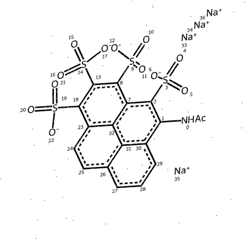 CC(=O)Nc1c(S(=O)(=O)[O-])c2c(S(=O)(=O)[O-])c(S(=O)(=O)[O-])c(S(=O)(=O)[O-])c3ccc4cccc1c4c32.[Na+].[Na+].[Na+].[Na+]